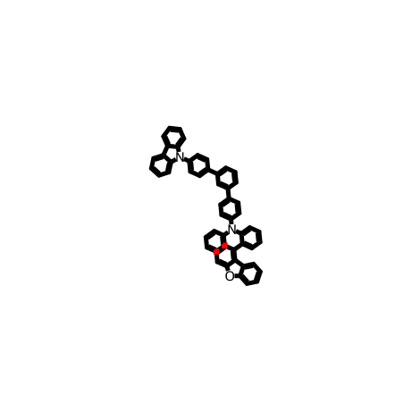 c1ccc(N(c2ccc(-c3cccc(-c4ccc(-n5c6ccccc6c6ccccc65)cc4)c3)cc2)c2ccccc2-c2cccc3oc4ccccc4c23)cc1